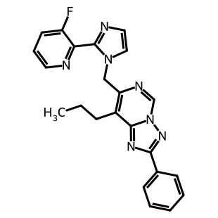 CCCc1c(Cn2ccnc2-c2ncccc2F)ncn2nc(-c3ccccc3)nc12